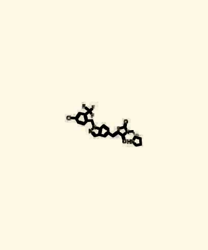 O=C1S/C(=C\c2ccc3c(cnn3Cc3ccc(Cl)cc3C(F)(F)F)c2)C(=O)N1C[C@@H]1CCCN1